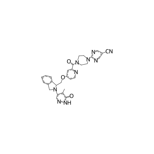 Cc1c(N2Cc3ccccc3C2COc2ccnc(C(=O)N3CCN(c4ncc(C#N)cn4)CC3)c2)cn[nH]c1=O